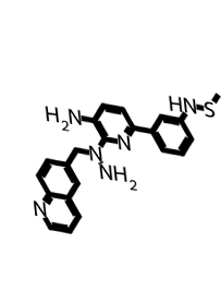 CSNc1cccc(-c2ccc(N)c(N(N)Cc3ccc4ncccc4c3)n2)c1